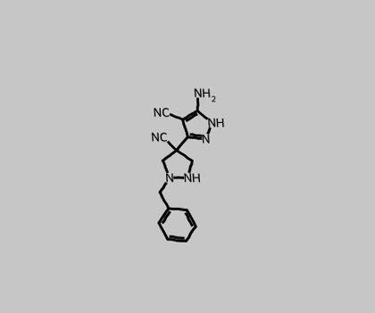 N#Cc1c(C2(C#N)CNN(Cc3ccccc3)C2)n[nH]c1N